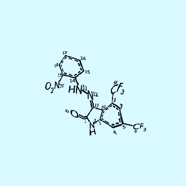 O=C1Nc2cc(C(F)(F)F)cc(C(F)(F)F)c2C1=NNc1ccccc1[N+](=O)[O-]